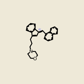 C1=C(CCCN2CCOCC2)c2ccccc2/C1=C/c1cccc2ccccc12